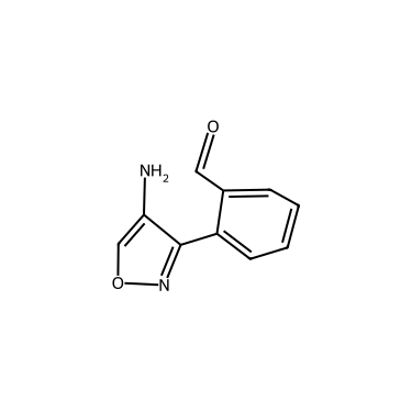 Nc1conc1-c1ccccc1C=O